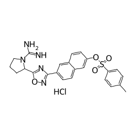 Cc1ccc(S(=O)(=O)Oc2ccc3cc(-c4noc(C5CCCN5C(=N)N)n4)ccc3c2)cc1.Cl